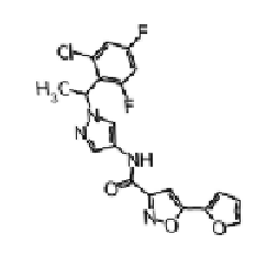 CC(c1c(F)cc(F)cc1Cl)n1cc(NC(=O)c2cc(-c3ccco3)on2)cn1